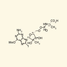 COc1nc(N)nc2c1nc(I)n2[C@@H]1O[C@H](COO[PH](=O)N[C@@H](C)C(=O)O)[C@@H](O)[C@@]1(C)O